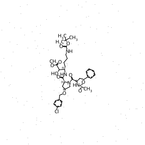 COC(=O)C(O)[C@H](CCCCNC(=O)OC(C)(C)C)NC(=O)[C@@H]1C[C@@H](OCc2ccc(Cl)cc2)CN1C(=O)[C@@H](CCc1ccccc1)NS(C)(=O)=O